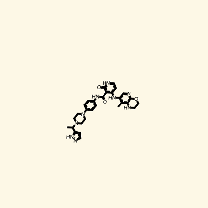 Cc1c(Nc2cc[nH]c(=O)c2C(=O)Nc2ccc(N3CCN(C(C)c4ccn[nH]4)CC3)cc2)cnc2c1NCCO2